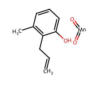 C=CCc1c(C)cccc1O.[O]=[Mn]=[O]